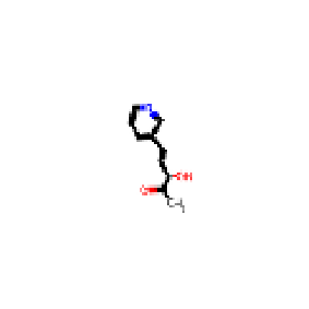 CC(=O)[C@@H](O)/C=C/c1cccnc1